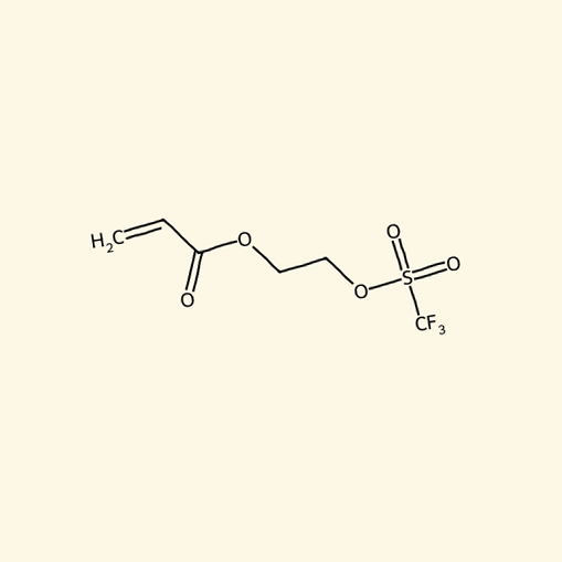 C=CC(=O)OCCOS(=O)(=O)C(F)(F)F